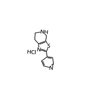 Cl.c1cc(-c2nc3c(s2)CNCC3)ccn1